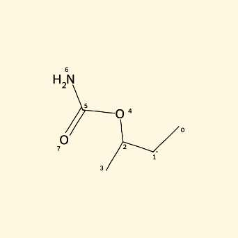 C[CH]C(C)OC(N)=O